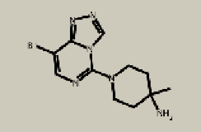 CC1(N)CCN(c2ncc(Br)c3nncn23)CC1